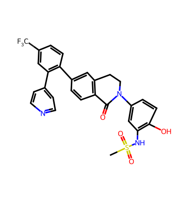 CS(=O)(=O)Nc1cc(N2CCc3cc(-c4ccc(C(F)(F)F)cc4-c4ccncc4)ccc3C2=O)ccc1O